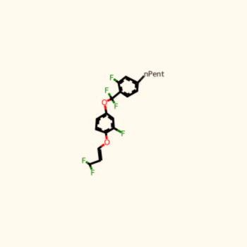 CCCCCc1ccc(C(F)(F)Oc2ccc(O/C=C/C(F)F)c(F)c2)c(F)c1